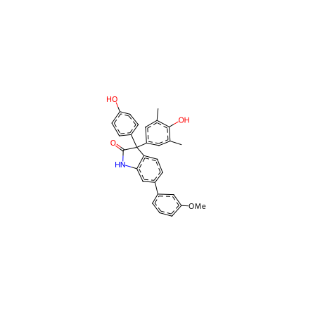 COc1cccc(-c2ccc3c(c2)NC(=O)C3(c2ccc(O)cc2)c2cc(C)c(O)c(C)c2)c1